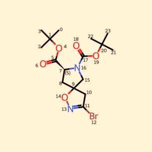 CC(C)(C)OC(=O)[C@@H]1CC2(CC(Br)=NO2)CN1C(=O)OC(C)(C)C